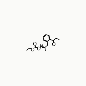 CCOC(=O)ON=C(C)Cc1ccccc1C(=O)CC